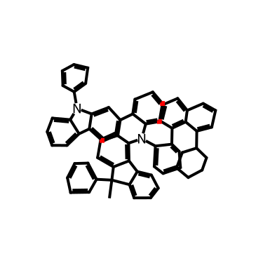 CC1(c2ccccc2)c2ccccc2-c2c(N(c3ccccc3-c3ccc4c5ccccc5n(-c5ccccc5)c4c3)c3ccccc3-c3cccc4cccc(C5CCCCC5)c34)cccc21